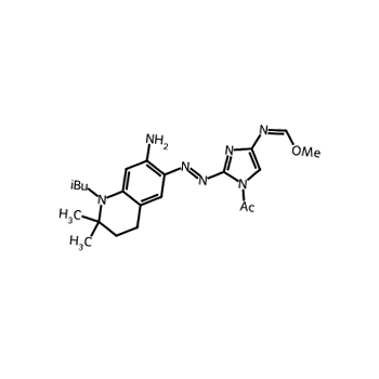 CCC(C)N1c2cc(N)c(N=Nc3nc(/N=C\OC)cn3C(C)=O)cc2CCC1(C)C